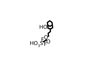 O=C(OCCCC1CC2CCCC(O)(C1)C2)C(F)(F)S(=O)(=O)O